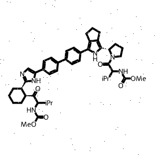 COC(=O)NC(C(=O)[C@H]1CCCC[C@H]1c1ncc(-c2ccc(-c3ccc(-c4[nH]c([C@@H]5CCCN5C(=O)C(NC(=O)OC)C(C)C)c5c4CCC5)cc3)cc2)[nH]1)C(C)C